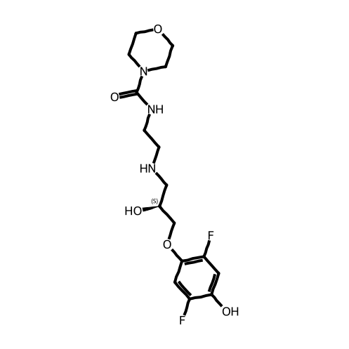 O=C(NCCNC[C@H](O)COc1cc(F)c(O)cc1F)N1CCOCC1